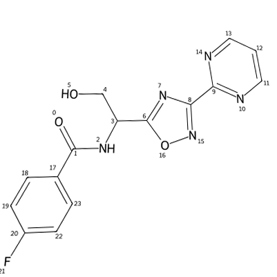 O=C(NC(CO)c1nc(-c2ncccn2)no1)c1ccc(F)cc1